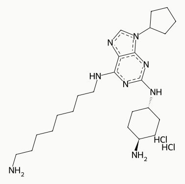 Cl.Cl.NCCCCCCCCNc1nc(N[C@H]2CC[C@H](N)CC2)nc2c1ncn2C1CCCC1